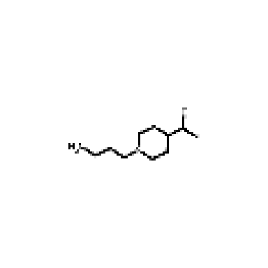 NCCCN1CCC(C(F)F)CC1